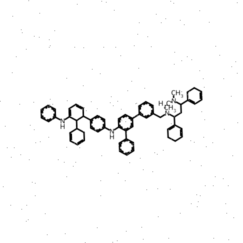 CN(C)C(CC(C1=CCCC=C1)N(C)Cc1cccc(-c2ccc(Nc3ccc(C4C=CC=C(Nc5ccccc5)C4C4C=CC=CC4)cc3)c(-c3ccccc3)c2)c1)C1=CC=CCC1